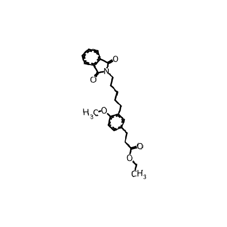 CCOC(=O)CCc1ccc(OC)c(CCCCCN2C(=O)c3ccccc3C2=O)c1